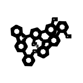 N#Cc1cccc(-c2ccc(-n3c4ccccc4c4ccc(-c5ccccc5C#N)cc43)c(C(F)(F)F)c2-n2c3ccccc3c3ccc(-c4ccccc4C#N)cc32)c1